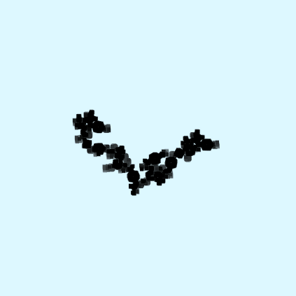 C=N/C(C)=C(\OCO[C@@H]1C[C@@H](C(=O)N[C@@H](C)c2ccc(C#N)cc2)N(C(=O)[C@@H](NC(=O)Cc2ccc(O[C@H]3C[C@H](NC(=O)CC4N=C(c5ccc(Cl)cc5)c5c(sc(C)c5C)-n5c(C)nnc54)C3)cc2)C(C)(C)C)C1)c1ccc([C@H](C)NC(=O)[C@@H]2C[C@@H](O)CN2C(=O)[C@@H](NC(=O)COc2ccc(O[C@H]3C[C@@H](NC(=O)C[C@@H]4N=C(c5ccc(Cl)cc5)c5c(sc(C)c5C)-n5c(C)nnc54)C3)nc2)C(C)(C)C)cc1